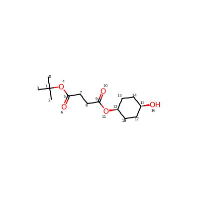 CC(C)(C)OC(=O)CCC(=O)O[C@H]1CC[C@@H](O)CC1